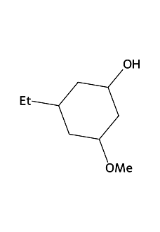 CCC1CC(O)CC(OC)C1